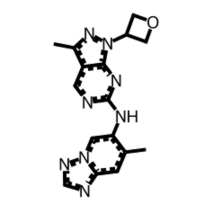 Cc1cc2ncnn2cc1Nc1ncc2c(C)nn(C3COC3)c2n1